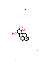 O[C@@H]1C[C@H](O)c2cc3ccc4cccc5ccc(c2[C@@H]1O)c3c45